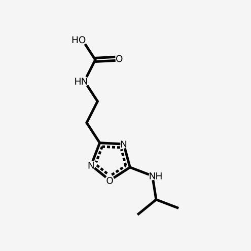 CC(C)Nc1nc(CCNC(=O)O)no1